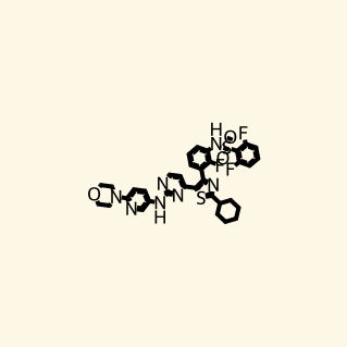 O=S(=O)(Nc1cccc(-c2nc(C3CCCCC3)sc2-c2ccnc(Nc3ccc(N4CCOCC4)nc3)n2)c1F)c1c(F)cccc1F